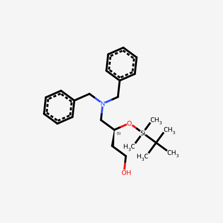 CC(C)(C)[Si](C)(C)O[C@@H](CCO)CN(Cc1ccccc1)Cc1ccccc1